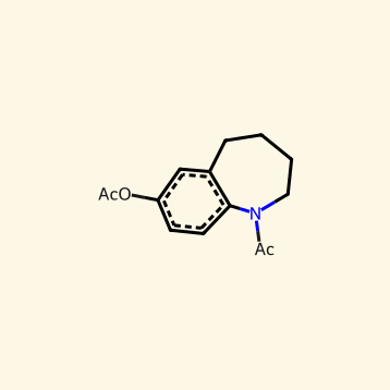 CC(=O)Oc1ccc2c(c1)CCCCN2C(C)=O